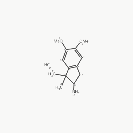 COc1cc2c(cc1OC)C(C)(C)C(N)C2.Cl